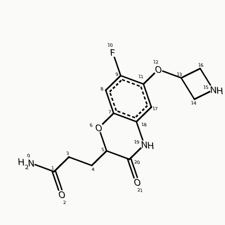 NC(=O)CCC1Oc2cc(F)c(OC3CNC3)cc2NC1=O